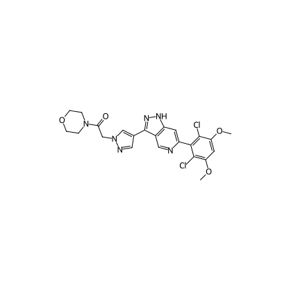 COc1cc(OC)c(Cl)c(-c2cc3[nH]nc(-c4cnn(CC(=O)N5CCOCC5)c4)c3cn2)c1Cl